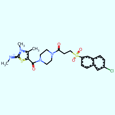 C/N=c1\sc(C(=O)N2CCN(C(=O)CCS(=O)(=O)c3ccc4cc(Cl)ccc4c3)CC2)c(C)n1C